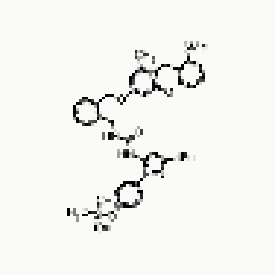 CSc1ccccc1Cn1c(C)cc(OCc2ccccc2CNC(=O)Nc2cc(C(C)(C)C)nn2-c2ccc(O[Si](C)(C)C(C)(C)C)cc2)cc1=O